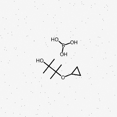 CC(C)(O)C(C)(C)OC1CC1.OB(O)O